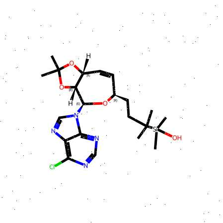 CC1(C)O[C@H]2[C@H](n3cnc4c(Cl)ncnc43)O[C@H](CCC(C)(C)[Si](C)(C)O)C=C[C@H]2O1